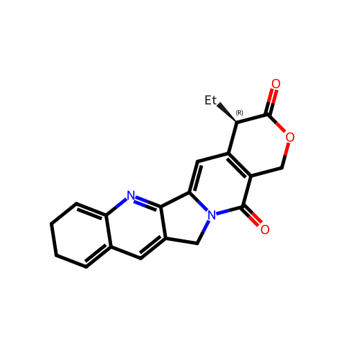 CC[C@H]1C(=O)OCc2c1cc1n(c2=O)Cc2cc3c(nc2-1)=CCCC=3